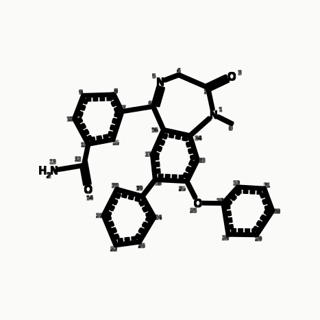 CN1C(=O)CN=C(c2cccc(C(N)=O)c2)c2cc(-c3ccccc3)c(Oc3ccccc3)cc21